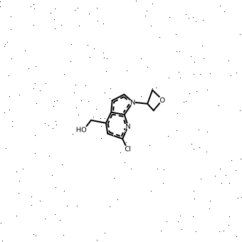 OCc1cc(Cl)nc2c1ccn2C1COC1